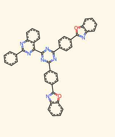 c1ccc(-c2nc(-c3nc(-c4ccc(-c5nc6ccccc6o5)cc4)nc(-c4ccc(-c5nc6ccccc6o5)cc4)n3)c3ccccc3n2)cc1